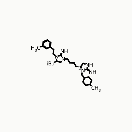 CCC(C)C1CN(CCCC[C@H]2CNC(=N)N2CC2CCC(C)CC2)C(=N)N1CCc1cccc(C)c1